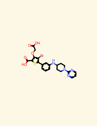 O=C(O)COc1c(C(=O)O)sc(-c2cccc(NC3CCN(c4ncccn4)CC3)c2)c1Br